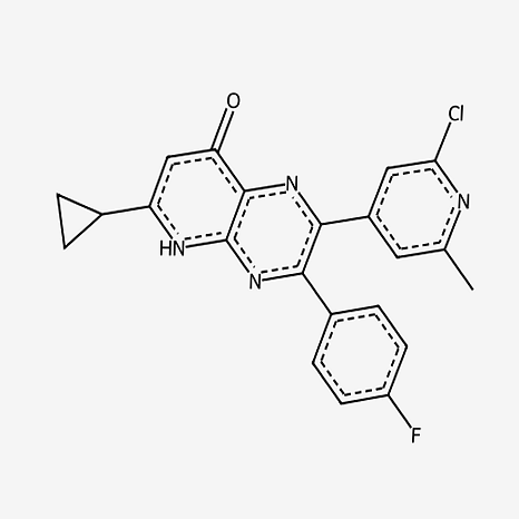 Cc1cc(-c2nc3c(=O)cc(C4CC4)[nH]c3nc2-c2ccc(F)cc2)cc(Cl)n1